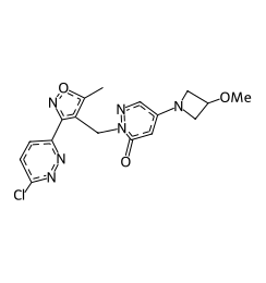 COC1CN(c2cnn(Cc3c(-c4ccc(Cl)nn4)noc3C)c(=O)c2)C1